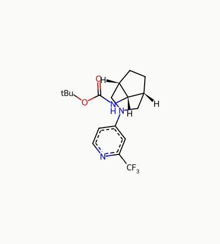 CC(C)(C)OC(=O)N[C@H]1[C@@H]2CC[C@H]1CN(c1ccnc(C(F)(F)F)c1)C2